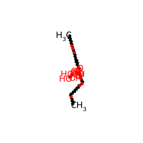 CCCCCCCC=CCCCCCCCCCCC=CCCCCC(=O)OC[C@H](COP(=O)(O)OC[C@@H](O)[C@H](O)CO)OC(=O)CCCC/C=C\CCCCCCCCCC/C=C\CCCCCCC